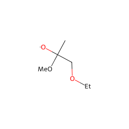 CCOCC(C)([O])OC